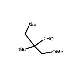 COCC(C=O)(CC(C)(C)C)C(C)(C)C